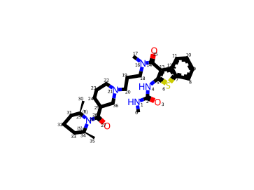 CNC(=O)Nc1sc2ccccc2c1C(=O)N(C)CCCN1CCCC(C(=O)N2[C@H](C)CCC[C@@H]2C)C1